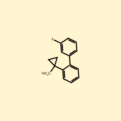 O=C(O)C1(c2ccccc2-c2cccc(F)c2)CC1